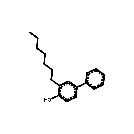 CCCCCCCc1cc(-c2ccccc2)ccc1O